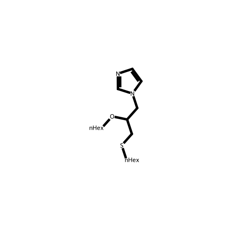 CCCCCCOC(CSCCCCCC)Cn1ccnc1